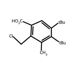 Cc1c(CCl)c(C(=O)O)cc(C(C)(C)C)c1C(C)(C)C